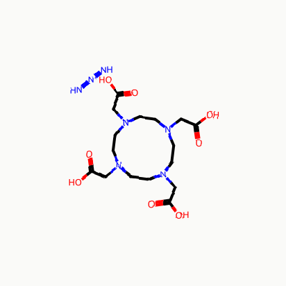 N=[N+]=N.O=C(O)CN1CCN(CC(=O)O)CCN(CC(=O)O)CCN(CC(=O)O)CC1